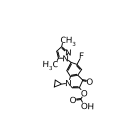 Cc1cc(C)n(-c2cc3c(cc2F)c(=O)c(OC(=O)O)cn3C2CC2)n1